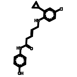 O=C(C/C=C/CNc1ccc(Cl)cc1C1CC1)Nc1ccc(O)cc1